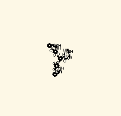 CNNN[C@H](C)C(=O)N[C@@H](C)C(=O)Nc1cc(COc2cc3c(cc2OC)C(=O)N2c4ccccc4C[C@H]2CN3)cc(COc2cc3c(cc2OC)C(=O)N2c4ccccc4C[C@H]2C(O)N3)c1